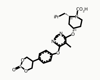 Cc1c(Oc2ccc(C3COS(=O)OC3)cc2)ncnc1O[C@H]1CCN(C(=O)O)[C@@H](CC(C)C)C1